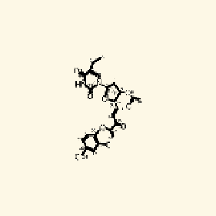 CCc1cn([C@H]2C[C@H](OC(C)=O)[C@@H](C=CC(=O)C(C)Oc3ccc(Cl)cc3Cl)O2)c(=O)[nH]c1=O